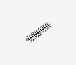 OC(Cl)(Cl)C(Cl)(Cl)C(Cl)(Cl)C(Cl)(Cl)C(Cl)(Cl)C(Cl)(Cl)C(Cl)(Cl)C(Cl)(Cl)C(Cl)(Cl)C(Cl)(Cl)C(Cl)(Cl)C(Cl)(Cl)Cl